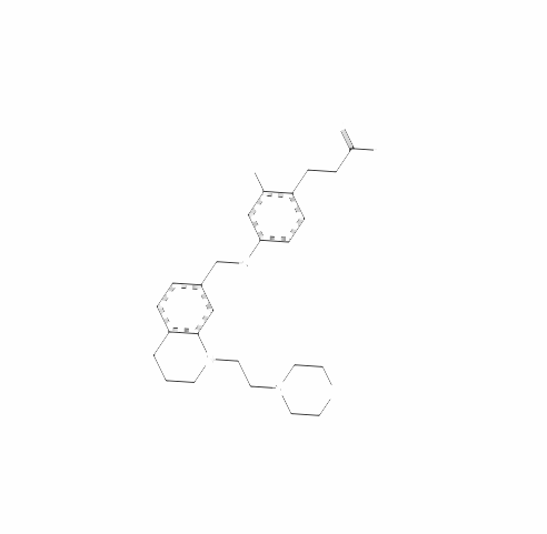 O=C(O)CCc1ccc(NCc2ccc3c(c2)N(CCN2CCOCC2)CCC3)cc1F